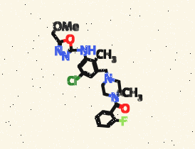 COCc1nnc(Nc2cc(Cl)cc(CN3CCN(C(=O)c4ccccc4F)[C@@H](C)C3)c2C)o1